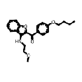 CCCCOc1ccc(C(=O)c2oc3ccccc3c2NCCOC)cc1